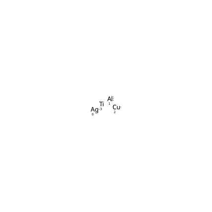 [Ag].[Al].[Cu].[Ti]